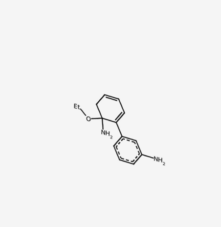 CCOC1(N)CC=CC=C1c1cccc(N)c1